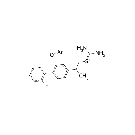 CC(=O)[O-].CC(C[S+]=C(N)N)c1ccc(-c2ccccc2F)cc1